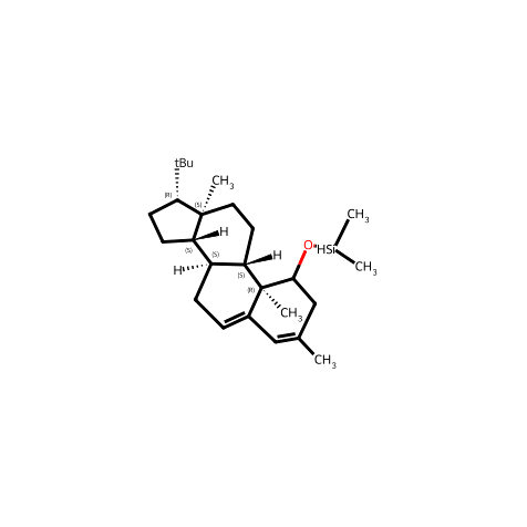 CC1=CC2=CC[C@H]3[C@@H]4CC[C@H](C(C)(C)C)[C@@]4(C)CC[C@@H]3[C@@]2(C)C(O[SiH](C)C)C1